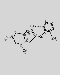 Cc1cccc(C)c1OC(=O)CN1C(C)CN(C)CC1C